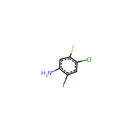 Nc1cc(F)c(Cl)cc1I